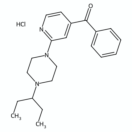 CCC(CC)N1CCN(c2cc(C(=O)c3ccccc3)ccn2)CC1.Cl